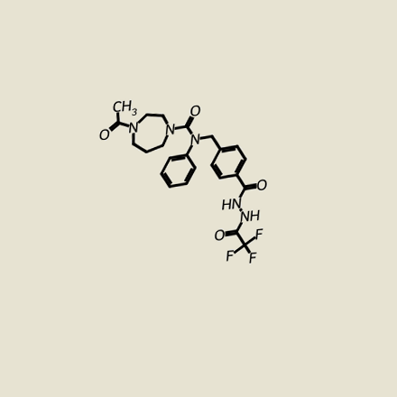 CC(=O)N1CCCN(C(=O)N(Cc2ccc(C(=O)NNC(=O)C(F)(F)F)cc2)c2ccccc2)CC1